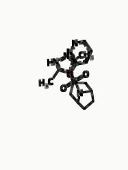 Cc1n[nH]c(C)c1S(=O)(=O)N1C2CCC1CC(Oc1cccnn1)C2